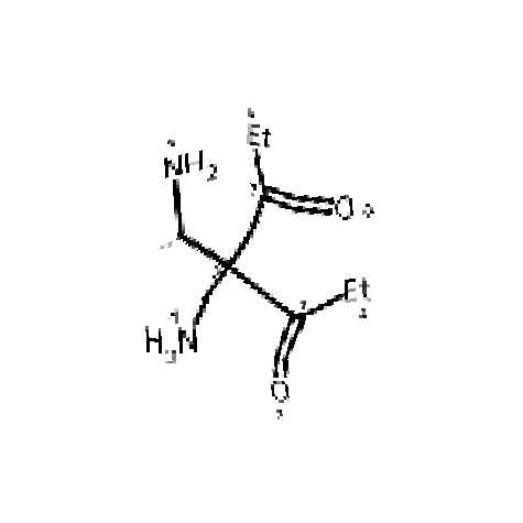 CCC(=O)C(N)(CN)C(=O)CC